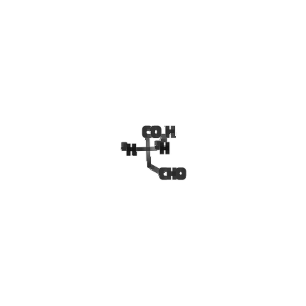 [2H]C([2H])(CC=O)C(=O)O